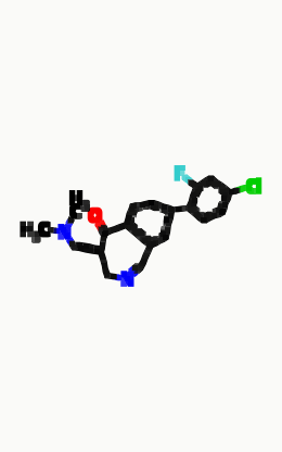 CN(C)C=C1CN=Cc2cc(-c3ccc(Cl)cc3F)ccc2C1=O